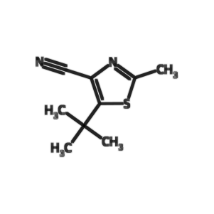 Cc1nc(C#N)c(C(C)(C)C)s1